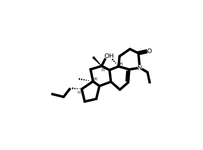 CCC[C@H]1CCC2C3CC=C4N(CC)C(=O)CC[C@]4(C)C3[C@@](C)(O)C[C@@]21C